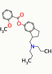 CCCN(CCC)CC1CCc2ccc(OC(=O)c3ccccc3OC)cc21